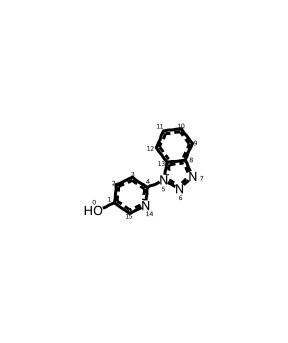 Oc1ccc(-n2nnc3ccccc32)nc1